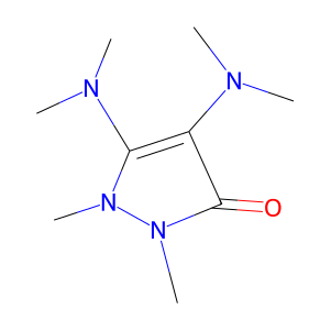 CN(C)c1c(N(C)C)n(C)n(C)c1=O